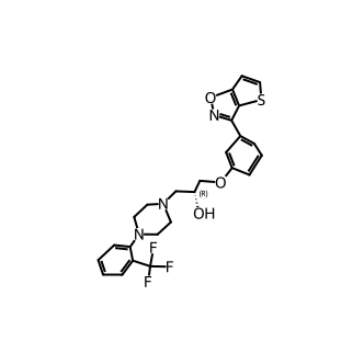 O[C@@H](COc1cccc(-c2noc3ccsc23)c1)CN1CCN(c2ccccc2C(F)(F)F)CC1